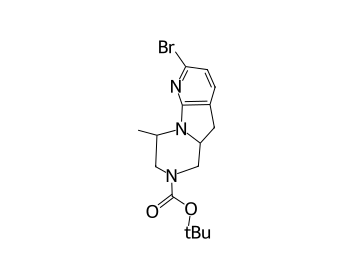 CC1CN(C(=O)OC(C)(C)C)CC2Cc3ccc(Br)nc3N12